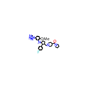 COc1ccc(-n2cnnn2)cc1N(C)C1CCC(CN2CCC(C(=O)N3CCCC3)CC2)C1c1ccc(F)cc1